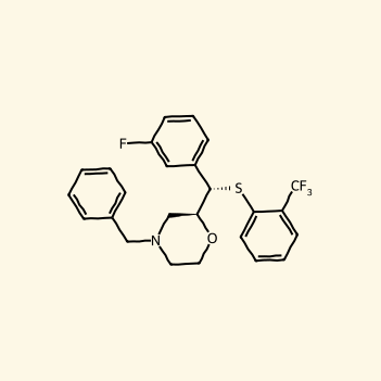 Fc1cccc([C@H](Sc2ccccc2C(F)(F)F)[C@@H]2CN(Cc3ccccc3)CCO2)c1